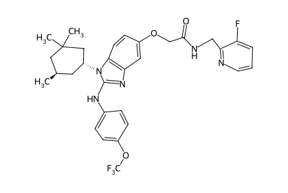 C[C@@H]1C[C@@H](n2c(Nc3ccc(OC(F)(F)F)cc3)nc3cc(OCC(=O)NCc4ncccc4F)ccc32)CC(C)(C)C1